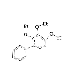 CCOc1ccc(-c2ccccc2)c(OCC)c1OCC